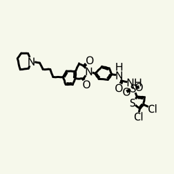 O=C(Nc1ccc(N2C(=O)Cc3cc(CCCCN4CCCCC4)ccc3C2=O)cc1)NS(=O)(=O)c1cc(Cl)c(Cl)s1